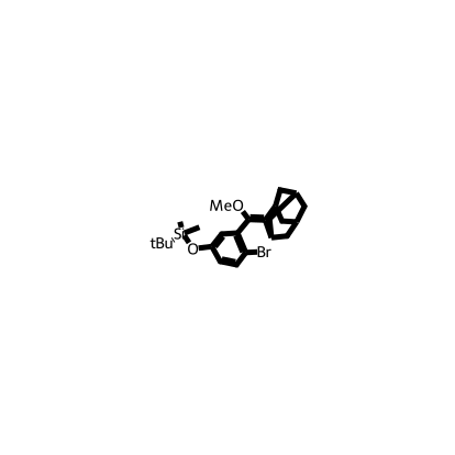 COC(=C1C2CC3CC(C2)CC1C3)c1cc(O[Si](C)(C)C(C)(C)C)ccc1Br